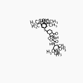 CC1(C)CC(NC(=O)C(=O)NN2C(=O)C3CCC(Sc4cc(C(C)(C)C)c(O)c(C(C)(C)C)c4)CC3C2=O)CC(C)(C)N1